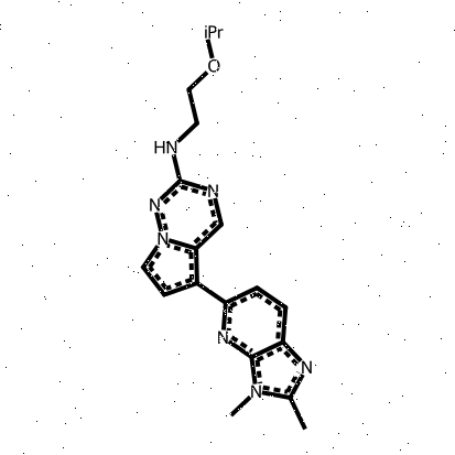 Cc1nc2ccc(-c3ccn4nc(NCCOC(C)C)ncc34)nc2n1C